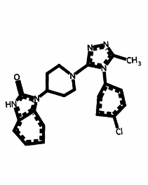 Cc1nnc(N2CCC(n3c(=O)[nH]c4ccccc43)CC2)n1-c1ccc(Cl)cc1